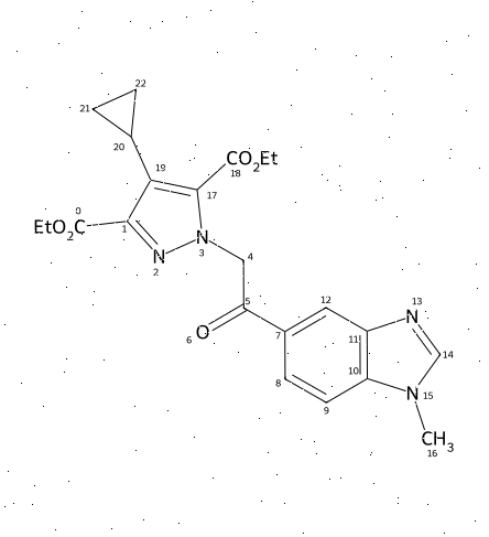 CCOC(=O)c1nn(CC(=O)c2ccc3c(c2)ncn3C)c(C(=O)OCC)c1C1CC1